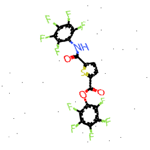 O=C(Nc1c(F)c(F)c(F)c(F)c1F)c1ccc(C(=O)Oc2c(F)c(F)c(F)c(F)c2F)s1